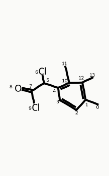 Cc1ccc(C(Cl)C(=O)Cl)c(C)c1C